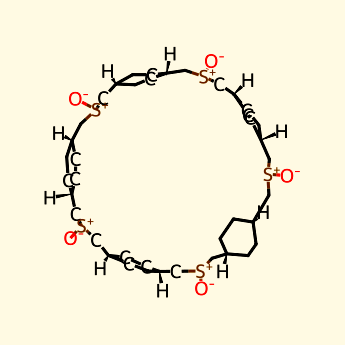 [O-][S+]1C[C@H]2CC[C@H](CC2)C[S+]([O-])C[C@H]2CC[C@H](CC2)C[S+]([O-])C[C@H]2CC[C@H](CC2)C[S+]([O-])C[C@H]2CC[C@H](CC2)C[S+]([O-])C[C@H]2CC[C@H](CC2)C1